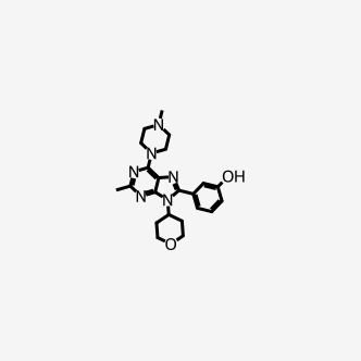 Cc1nc(N2CCN(C)CC2)c2nc(-c3cccc(O)c3)n(C3CCOCC3)c2n1